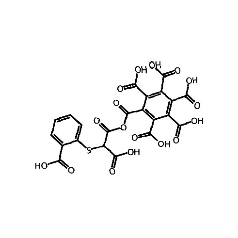 O=C(O)c1ccccc1SC(C(=O)O)C(=O)OC(=O)c1c(C(=O)O)c(C(=O)O)c(C(=O)O)c(C(=O)O)c1C(=O)O